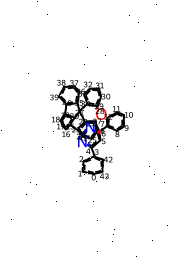 c1ccc(-c2cc(-c3ccccc3)nc(-c3cccc4c3C3(c5ccccc5Oc5ccccc53)c3ccccc3-4)n2)cc1